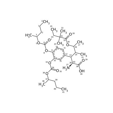 CCCC(C)OC(=O)Oc1ccc(C(C(C)C(C)OC(=O)C(C)(C)CC)[C@H](N)C(=O)O)cc1OC(=O)OC(C)CCC